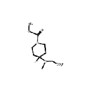 CN(CC(=O)O)C1(F)CCN(C(=O)OC(C)(C)C)CC1